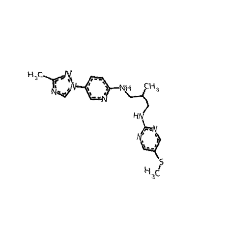 CSc1cnc(NCC(C)CNc2ccc(-n3cnc(C)n3)cn2)nc1